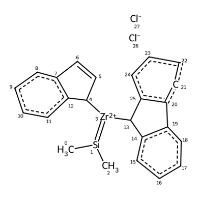 C[Si](C)=[Zr+2]([CH]1C=Cc2ccccc21)[CH]1c2ccccc2-c2ccccc21.[Cl-].[Cl-]